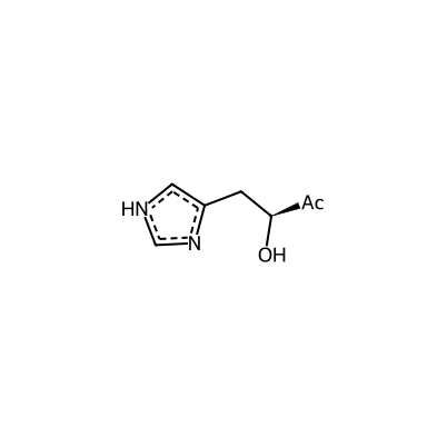 CC(=O)[C@@H](O)Cc1c[nH]cn1